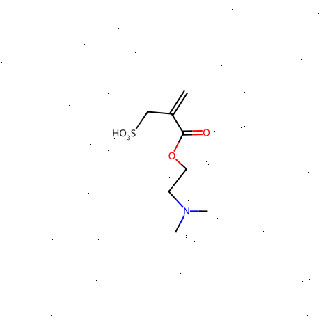 C=C(CS(=O)(=O)O)C(=O)OCCN(C)C